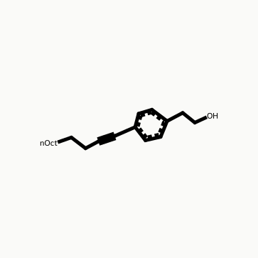 CCCCCCCCCCC#Cc1ccc(CCO)cc1